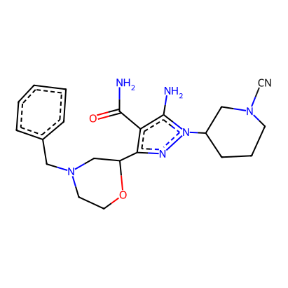 N#CN1CCCC(n2nc(C3CN(Cc4ccccc4)CCO3)c(C(N)=O)c2N)C1